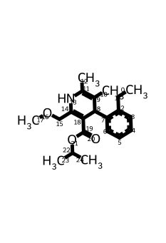 CCc1ccccc1C1C(C)=C(C)NC(COC)=C1C(=O)OC(C)C